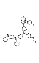 C=Cc1ccc(C23CC4CC(C2)CC(c2ccc(N(c5ccc(CCCC)cc5)c5ccc(N(c6ccccc6)c6ccc7sc8ccccc8c7c6)cc5)cc2)(C4)C3)cc1